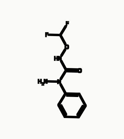 NN(C(=O)NOC(F)F)c1ccccc1